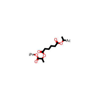 CC(=O)C(C)OC(=O)CCCCC(=O)OC(C)C(=O)OC(C)C